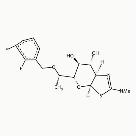 CNC1=N[C@@H]2[C@@H](O)[C@H](O)[C@@H]([C@H](C)OCc3cccc(F)c3F)O[C@@H]2S1